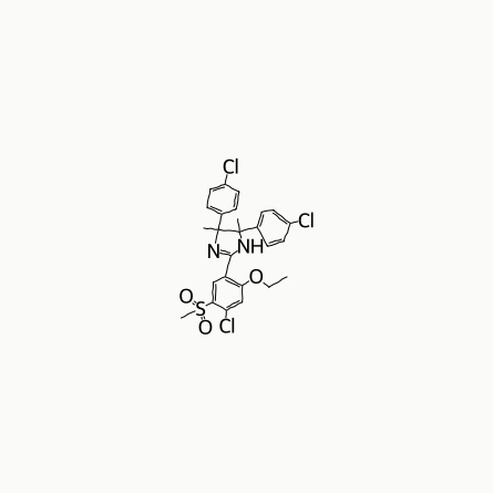 CCOc1cc(Cl)c(S(C)(=O)=O)cc1C1=NC(C)(c2ccc(Cl)cc2)C(C)(c2ccc(Cl)cc2)N1